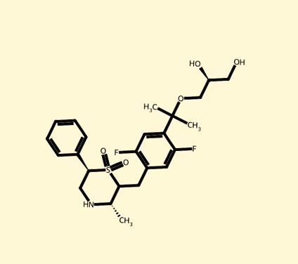 C[C@@H]1NC[C@@H](c2ccccc2)S(=O)(=O)C1Cc1cc(F)c(C(C)(C)OC[C@@H](O)CO)cc1F